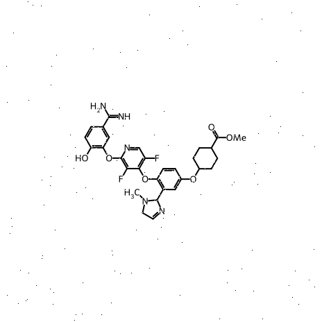 COC(=O)C1CCC(Oc2ccc(Oc3c(F)cnc(Oc4cc(C(=N)N)ccc4O)c3F)c(C3N=CCN3C)c2)CC1